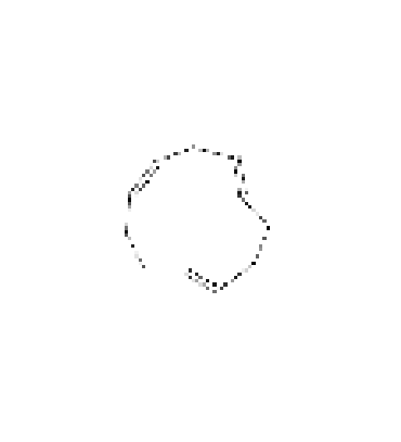 [CH]1/C=C/C/C=C\CC/C=C/C1